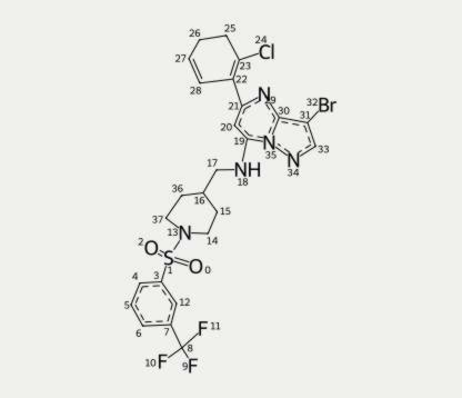 O=S(=O)(c1cccc(C(F)(F)F)c1)N1CCC(CNc2cc(C3=C(Cl)CCC=C3)nc3c(Br)cnn23)CC1